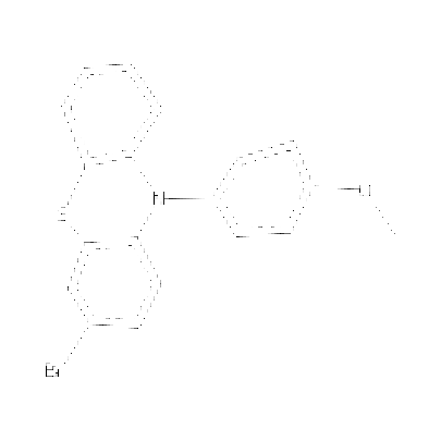 COc1ccc(N2c3ccccc3Sc3cc(Br)ccc32)cc1